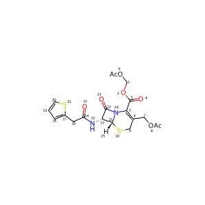 CC(=O)OCOC(=O)C1=C(COC(C)=O)CS[C@@H]2[C@H](NC(=O)Cc3cccs3)C(=O)N12